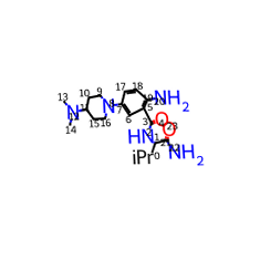 CC(C)C(NC(=O)c1cc(N2CCC(N(C)C)CC2)ccc1N)C(N)=O